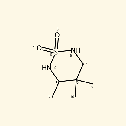 CC1NS(=O)(=O)NCC1(C)C